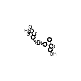 O=C1CCC(c2ccc(CN3CCN(c4ccc([C@H]5c6ccc(O)cc6OC[C@H]5c5ccccc5)cc4)CC3)cc2F)C(=O)N1